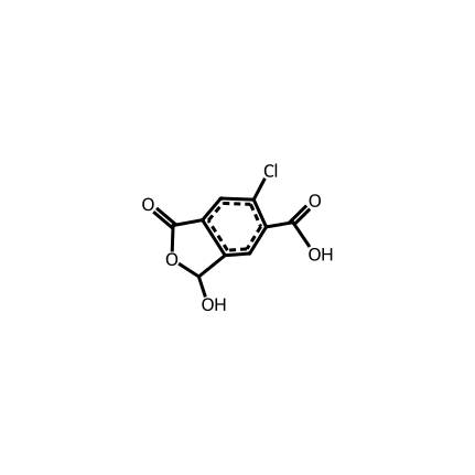 O=C(O)c1cc2c(cc1Cl)C(=O)OC2O